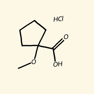 COC1(C(=O)O)CCCC1.Cl